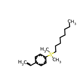 C=Cc1ccc(S(C)(C)CCCCCCCC)cc1